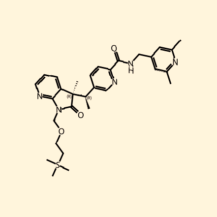 Cc1cc(CNC(=O)c2ccc([C@@H](C)[C@@]3(C)C(=O)N(COCCS(C)(C)C)c4ncccc43)cn2)cc(C)n1